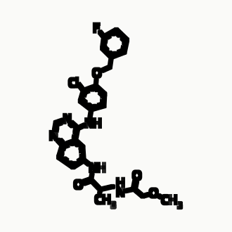 COCC(=O)NCC(C)C(=O)Nc1ccc2ncnc(Nc3ccc(OCc4cccc(F)c4)c(Cl)c3)c2c1